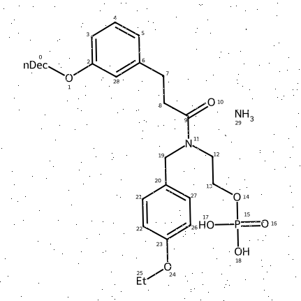 CCCCCCCCCCOc1cccc(CCC(=O)N(CCOP(=O)(O)O)Cc2ccc(OCC)cc2)c1.N